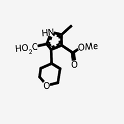 COC(=O)c1c(C)[nH]c(C(=O)O)c1C1CCOCC1